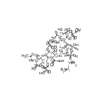 CC(=O)N[C@@H]1[C@@H](O)[C@H](O[C@@H]2O[C@H](C(=O)O)[C@@H](O[C@@H]3O[C@H](CO)[C@@H](O[C@H]4O[C@@H](C(=O)O)[C@H](O)[C@@H](O)[C@@H]4OS(=O)(=O)O)[C@H](OS(=O)(=O)O)[C@H]3NS(=O)(=O)O)[C@H](O)[C@H]2OS(=O)(=O)O)[C@H](COS(=O)(=O)O)O[C@H]1O.NCCN